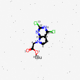 CC(C)(C)OC(=O)Cn1ccc2c(Cl)nc(Cl)nc21